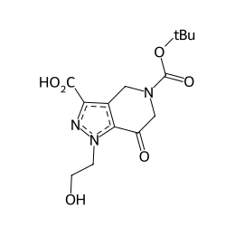 CC(C)(C)OC(=O)N1CC(=O)c2c(c(C(=O)O)nn2CCO)C1